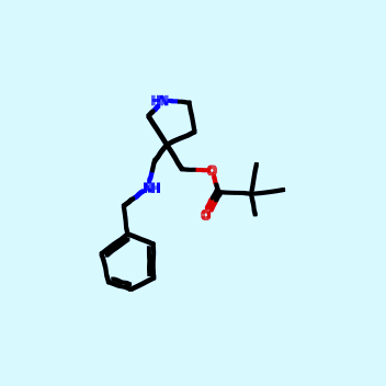 CC(C)(C)C(=O)OCC1(CNCc2ccccc2)CCNC1